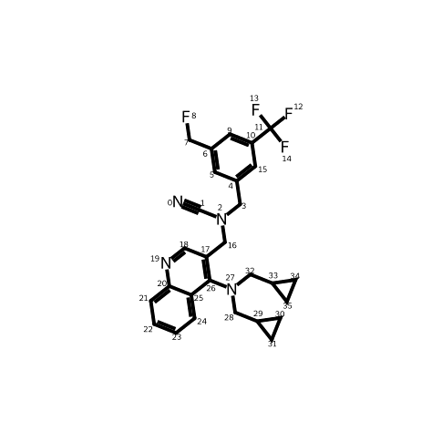 N#CN(Cc1cc(CF)cc(C(F)(F)F)c1)Cc1cnc2ccccc2c1N(CC1CC1)CC1CC1